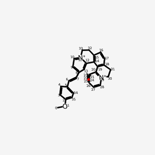 COc1ccc(/C=C/c2cc[n+]3c(c2)-c2c(ccc4c2-c2c5ccccc5cc[n+]2CC4)CC3)cc1